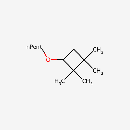 CCCCCOC1CC(C)(C)C1(C)C